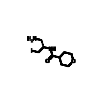 NC[C@@H](CI)NC(=O)C1CCOCC1